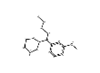 CCCCC(c1cccc(OC)c1)C1CCCNC1